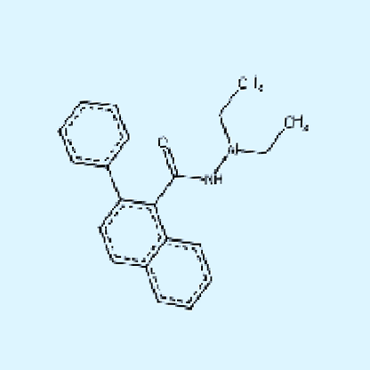 C[CH2][Al]([CH2]C)[NH]C(=O)c1c(-c2ccccc2)ccc2ccccc12